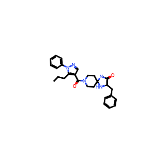 CCCc1c(C(=O)N2CCC3(CC2)[N]C(=O)C(Cc2ccccc2)N3)cnn1-c1ccccc1